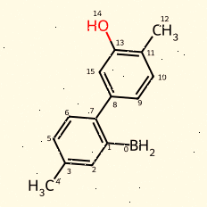 Bc1cc(C)ccc1-c1ccc(C)c(O)c1